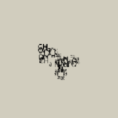 COc1cc2c(cc1OC)CN(Cc1cnc(N3CCCCCC3)n3nc(-c4ccco4)nc13)CC2